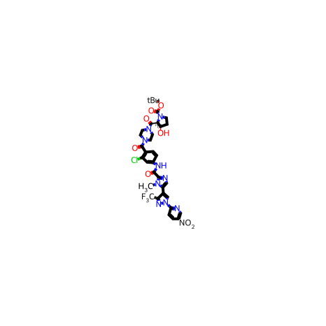 Cn1c(-c2cn(-c3ccc([N+](=O)[O-])cn3)nc2C(F)(F)F)cnc1C(=O)Nc1ccc(C(=O)N2CCN(C(=O)[C@@H]3[C@@H](O)CCN3C(=O)OC(C)(C)C)CC2)c(Cl)c1